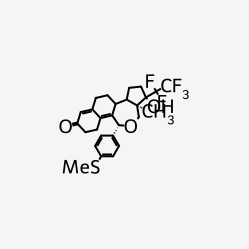 CSc1ccc([C@H]2OC[C@@]3(C)C(CC[C@@]3(O)C(F)(F)C(F)(F)F)C3CCC4=CC(=O)CCC4=C32)cc1